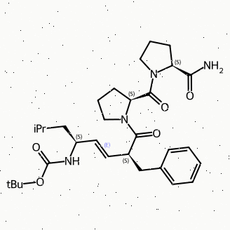 CC(C)C[C@@H](/C=C/[C@H](Cc1ccccc1)C(=O)N1CCC[C@H]1C(=O)N1CCC[C@H]1C(N)=O)NC(=O)OC(C)(C)C